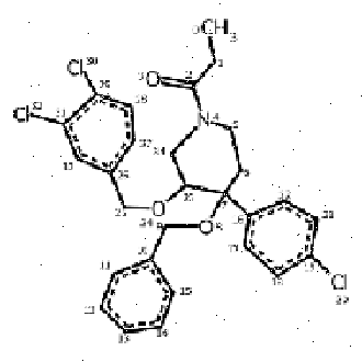 CCC(=O)N1CCC(OCc2ccccc2)(c2ccc(Cl)cc2)C(OCc2ccc(Cl)c(Cl)c2)C1